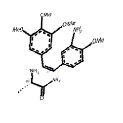 COc1ccc(/C=C\c2cc(OC)c(OC)c(OC)c2)cc1N.C[C@H](N)C(N)=O